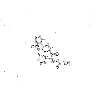 CCC(=O)O/N=C(\C(=O)c1ccc(-c2ccccc2[N+](=O)[O-])cc1)C1CCCCC1